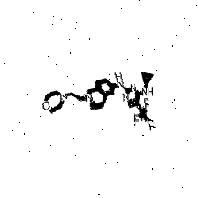 FC(F)(F)c1cnc(Nc2ccc3c(c2)CCN(CCN2CCOCC2)C3)nc1NC1CC1